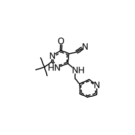 CC(C)(C)c1nc(=O)c(C#N)c(NCc2cccnc2)[nH]1